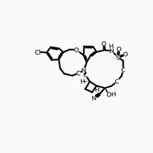 N#C[C@@]1(O)CCCCCS(=O)(=O)NC(=O)c2ccc3c(c2)N(CCCCc2cc(Cl)ccc2CO3)C[C@@H]2CC[C@H]21